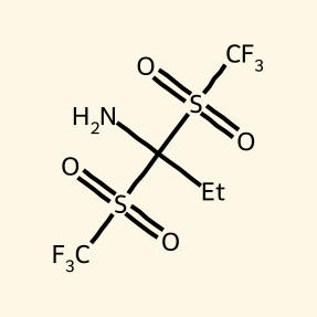 CCC(N)(S(=O)(=O)C(F)(F)F)S(=O)(=O)C(F)(F)F